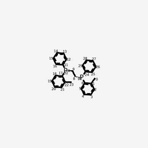 Cc1ccccc1[P@](CC[P@](c1ccccc1)c1ccccc1C)c1ccccc1